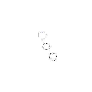 OC1(c2ccc(-c3ccccc3)c(F)c2)CCNCC1